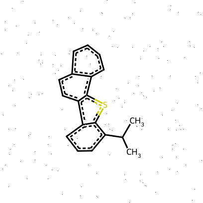 CC(C)c1cccc2c1sc1c3ccccc3ccc21